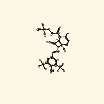 CC1=CS[C@H]2[C@H](N=Cc3cc(C(C)(C)C)c(O)c(C(C)(C)C)c3)C(=O)N2C1C(=O)OCC(Cl)(Cl)Cl